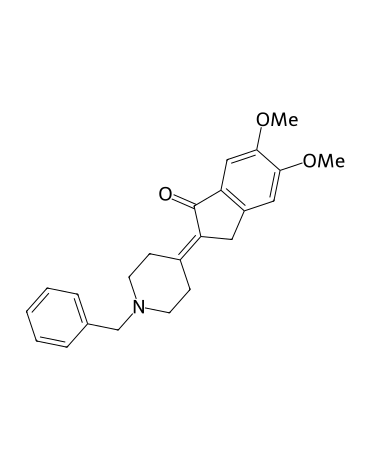 COc1cc2c(cc1OC)C(=O)C(=C1CCN(Cc3ccccc3)CC1)C2